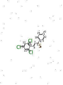 Cc1ccc(C(=S)C=Cc2c(Cl)cc(Cl)cc2Cl)cc1